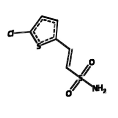 NS(=O)(=O)/C=C/c1ccc(Cl)s1